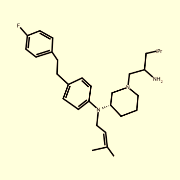 CC(C)=CCN(c1ccc(CCc2ccc(F)cc2)cc1)[C@H]1CCCN(CC(N)CC(C)C)C1